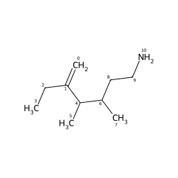 C=C(CC)C(C)C(C)CCN